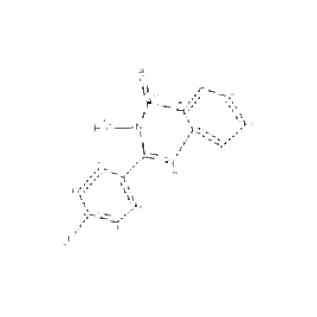 Cn1c(-c2ccc(F)cc2)nc2ccccc2c1=O